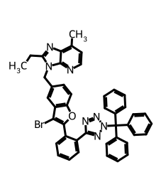 CCc1nc2c(C)ccnc2n1Cc1ccc2oc(-c3ccccc3-c3nnn(C(c4ccccc4)(c4ccccc4)c4ccccc4)n3)c(Br)c2c1